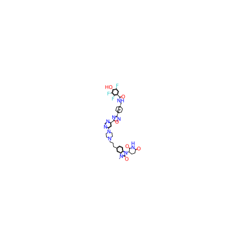 Cn1c(=O)n(C2CCC(=O)NC2=O)c2ccc(CCCN3CCN(c4cc(-c5nc([C@]67CC[C@](CNC(=O)c8cc(F)c(O)c(F)c8F)(CC6)CC7)no5)ncn4)CC3)cc21